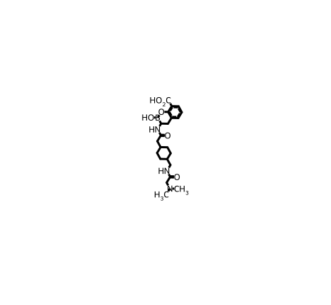 CN(C)CC(=O)NCC1CCC(CC(=O)NC2Cc3cccc(C(=O)O)c3OB2O)CC1